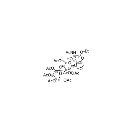 CCO[C@H]1O[C@H](CO)[C@@H](O[C@@H]2O[C@H](COC(C)=O)[C@H](O[C@@H]3O[C@H](COC(C)=O)[C@H](OC(C)=O)[C@H](OC(C)=O)[C@H]3OC(C)=O)[C@H](OC(C)=O)[C@H]2OC(C)=O)[C@H](O)[C@@H]1NC(C)=O